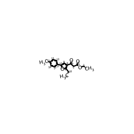 CCOC(=O)CC(=O)c1cc(-c2ccc(C)cc2)oc1CC